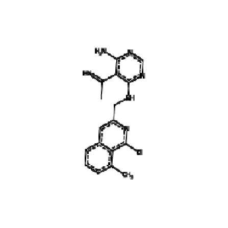 Cc1cccc2cc(CNc3ncnc(N)c3C(=N)I)nc(Cl)c12